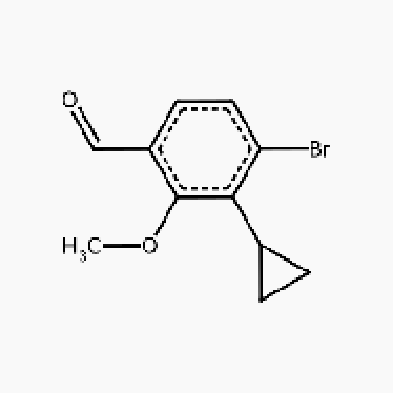 COc1c(C=O)ccc(Br)c1C1CC1